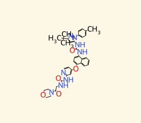 Cc1ccc(-n2nc(C(C)(C)C)cc2NC(=O)Nc2ccc(Oc3ccnc(NC(=O)NCC(=O)N4CCOCC4)c3)c3ccccc23)cc1